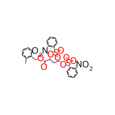 Cc1ccccc1COC(=O)C(CCOS(=O)(=O)c1ccccc1[N+](=O)[O-])OS(=O)(=O)c1ccccc1[N+](=O)[O-]